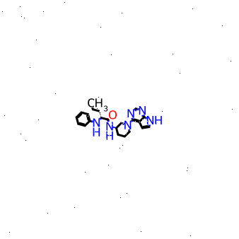 CCC[C@@H](Nc1ccccc1)C(=O)N[C@@H]1CCCN(c2ncnc3[nH]ccc23)C1